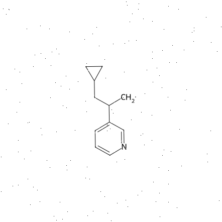 [CH2]C(CC1CC1)c1cccnc1